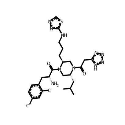 CC(C)C[C@@H]1CN(C(=O)[C@H](N)Cc2ccc(Cl)cc2Cl)[C@@H](CCCNc2nncs2)CN1C(=O)Cc1nnn[nH]1